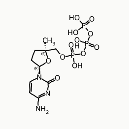 C[C@@]1(COP(=O)(O)OP(=O)(O)OP(=O)(O)O)CC[C@H](n2ccc(N)nc2=O)O1